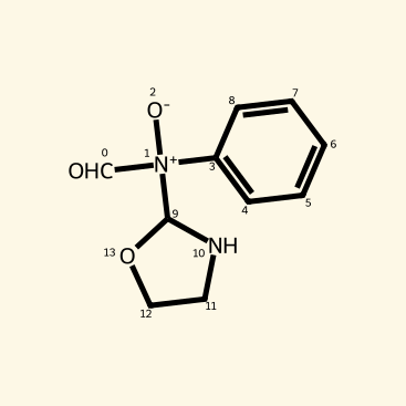 O=C[N+]([O-])(c1ccccc1)C1NCCO1